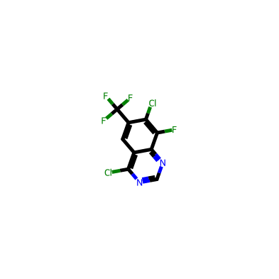 Fc1c(Cl)c(C(F)(F)F)cc2c(Cl)ncnc12